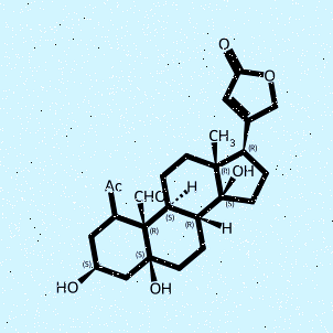 CC(=O)C1C[C@H](O)C[C@@]2(O)CC[C@@H]3[C@H](CC[C@]4(C)[C@@H](C5=CC(=O)OC5)CC[C@]34O)[C@@]12C=O